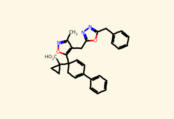 Cc1noc(C2(C3(C(=O)O)CC3)C=CC(c3ccccc3)=CC2)c1Cc1nnc(Cc2ccccc2)o1